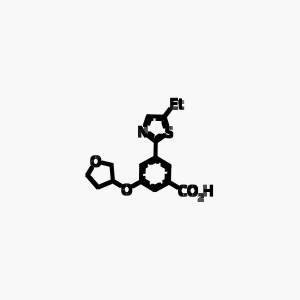 CCc1cnc(-c2cc(OC3CCOC3)cc(C(=O)O)c2)s1